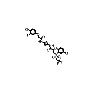 O=C(COc1ccc(Cl)c(F)c1)NC12CC(NC(=O)C3CN(S(=O)(=O)CC(F)(F)F)c4cc(Cl)ccc4O3)(C1)C2